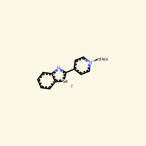 CCCCCC[n+]1ccc(-c2nc3ccccc3[se]2)cc1.[I-]